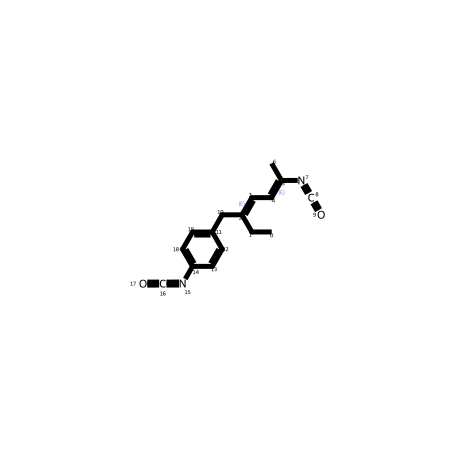 CC/C(=C\C=C(/C)N=C=O)Cc1ccc(N=C=O)cc1